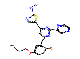 CCCNc1ncc(-c2cc(-c3cc(OCCC(C)C)ccc3Br)nc(-c3cnccn3)n2)s1